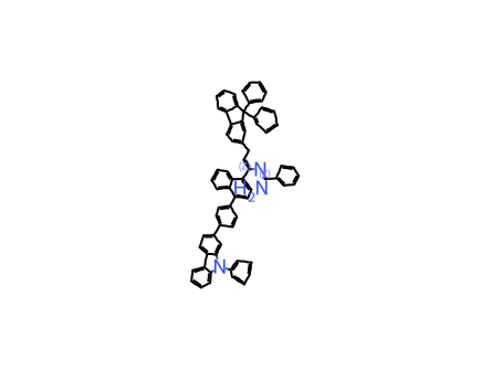 N/C(=N\C(=C/Cc1ccc2c(c1)C(c1ccccc1)(c1ccccc1)c1ccccc1-2)c1ccc(-c2ccc(-c3ccc4c5ccccc5n(-c5ccccc5)c4c3)cc2)c2ccccc12)c1ccccc1